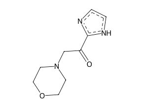 O=C(CN1CCOCC1)c1ncc[nH]1